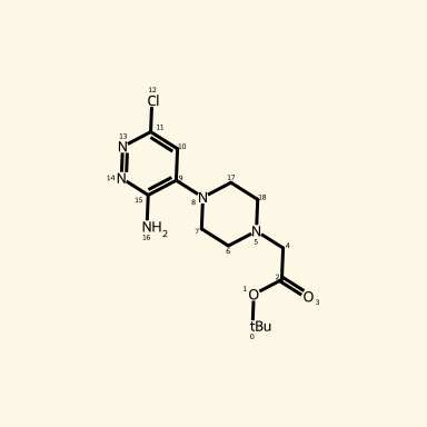 CC(C)(C)OC(=O)CN1CCN(c2cc(Cl)nnc2N)CC1